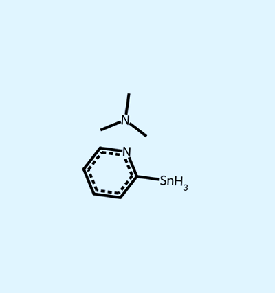 CN(C)C.[SnH3][c]1ccccn1